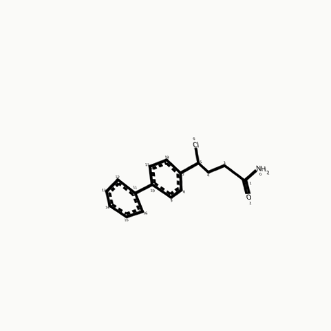 NC(=O)CCC(Cl)c1ccc(-c2ccccc2)cc1